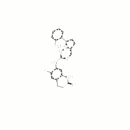 COc1ccccc1-c1ccc2cnc(Nc3cc4c(cc3F)CCC(=O)N4)nn12